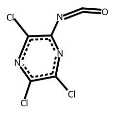 O=C=Nc1nc(Cl)c(Cl)nc1Cl